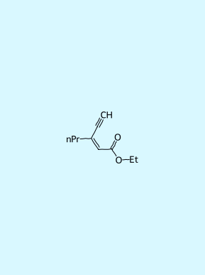 C#CC(=CC(=O)OCC)CCC